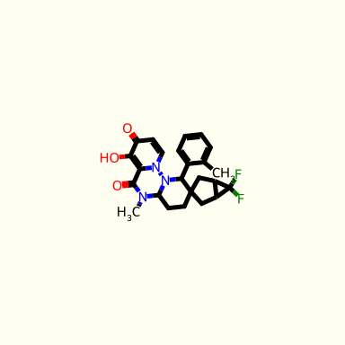 Cc1ccccc1C1N2C(CCC13CC1C(C3)C1(F)F)N(C)C(=O)c1c(O)c(=O)ccn12